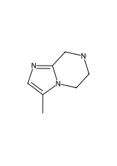 Cc1cnc2n1CC[N]C2